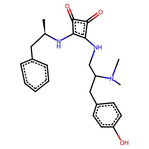 C[C@H](Cc1ccccc1)Nc1c(NCC(Cc2ccc(O)cc2)N(C)C)c(=O)c1=O